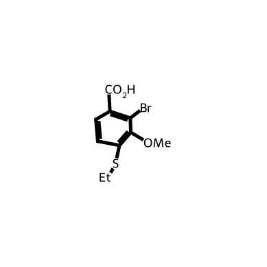 CCSc1ccc(C(=O)O)c(Br)c1OC